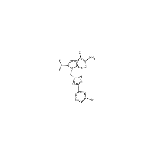 Nc1ccc2c(cc(C(F)F)n2Cc2nnc(-c3cncc(Br)c3)o2)c1Cl